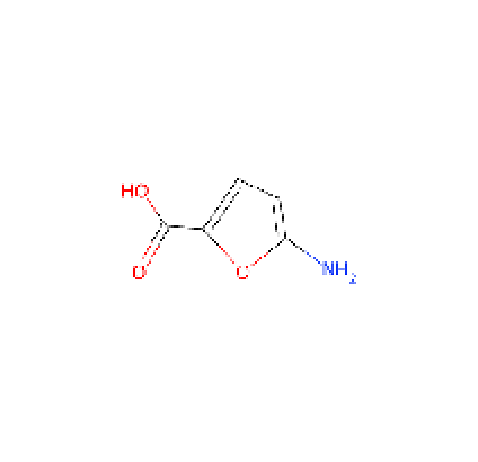 Nc1ccc(C(=O)O)o1